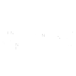 O=C(O)N1CCN(c2ccc3[nH]c(=O)[nH]c3c2)CC1